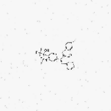 Cc1ccc(Cn2c(-c3ccc(C(O)(C(F)(F)F)C(F)(F)F)cc3)cc3ccccc3c2=O)cc1